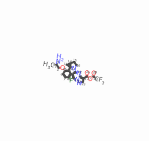 C[C@@H](N)COc1ccc(F)cc1C12CC1CCN2c1ccn2ncc(C(=O)OC(=O)C(F)(F)F)c2n1